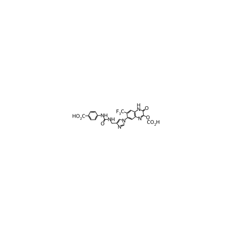 O=C(NCc1cn(-c2cc3nc(OC(=O)O)c(=O)[nH]c3cc2C(F)(F)F)cn1)Nc1ccc(C(=O)O)cc1